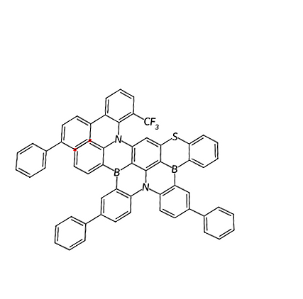 FC(F)(F)c1cccc(-c2ccc(-c3ccccc3)cc2)c1N1c2ccccc2B2c3cc(-c4ccccc4)ccc3N3c4ccc(-c5ccccc5)cc4B4c5ccccc5Sc5cc1c2c3c54